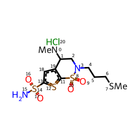 CNC1CN(CCCSC)S(=O)(=O)c2sc(S(N)(=O)=O)cc21.Cl